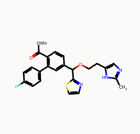 COC(=O)c1ccc(C(OCCc2cnc(C)[nH]2)c2nccs2)cc1-c1ccc(F)cc1